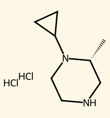 C[C@@H]1CNCCN1C1CC1.Cl.Cl